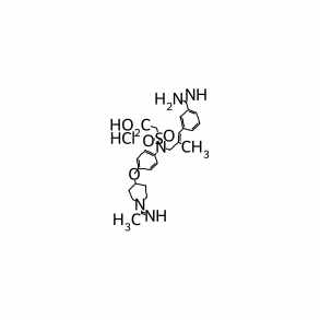 CC(=N)N1CCC(Oc2ccc(N(CC(C)=Cc3cccc(C(=N)N)c3)S(=O)(=O)CC(=O)O)cc2)CC1.Cl